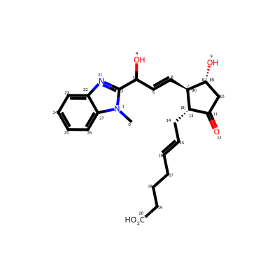 Cn1c(C(O)C=C[C@H]2[C@H](O)CC(=O)[C@@H]2CC=CCCCC(=O)O)nc2ccccc21